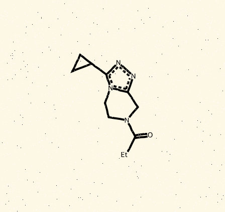 CCC(=O)N1CCn2c(nnc2C2CC2)C1